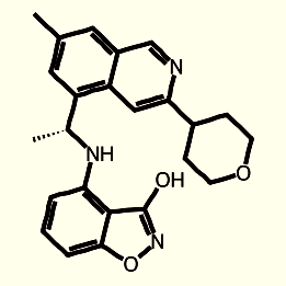 Cc1cc([C@@H](C)Nc2cccc3onc(O)c23)c2cc(C3CCOCC3)ncc2c1